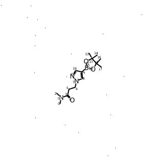 CN(C)C(=O)CCn1cc(B2OC(C)(C)C(C)(C)O2)cn1